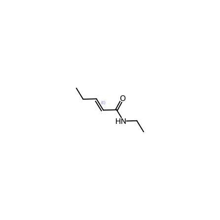 CC/C=C/C(=O)NCC